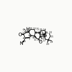 C[C@@H]1C(=O)C(C#N)=C[C@]2(C)C3=CC(=O)[C@@]4(C)C5CC(C)(C)CC[C@]56CC[C@]4(OC6=O)[C@]3(C)CC[C@@H]12